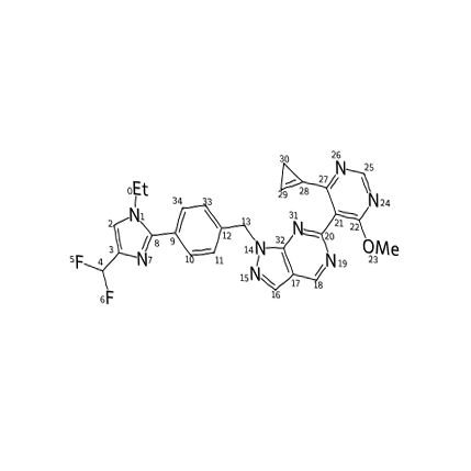 CCn1cc(C(F)F)nc1-c1ccc(Cn2ncc3cnc(-c4c(OC)ncnc4C4=CC4)nc32)cc1